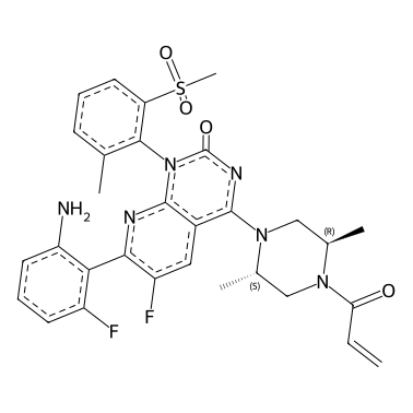 C=CC(=O)N1C[C@H](C)N(c2nc(=O)n(-c3c(C)cccc3S(C)(=O)=O)c3nc(-c4c(N)cccc4F)c(F)cc23)C[C@H]1C